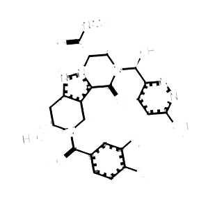 CNC(=O)[C@@H]1CN([C@@H](C)c2ccc(C)nn2)C(=O)c2c3c(nn21)C[C@@H](C)N(C(=O)c1ccc(Cl)c(Cl)c1)C3